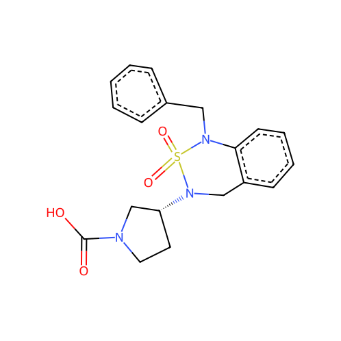 O=C(O)N1CC[C@@H](N2Cc3ccccc3N(Cc3ccccc3)S2(=O)=O)C1